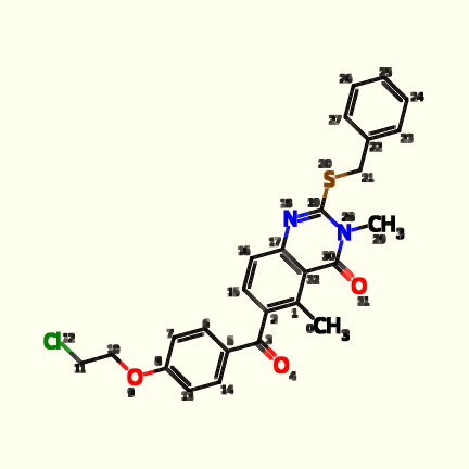 Cc1c(C(=O)c2ccc(OCCCl)cc2)ccc2nc(SCc3ccccc3)n(C)c(=O)c12